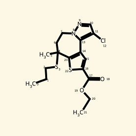 CCCSC1(C)CCn2ncc(Cl)c2-c2cc(C(=O)OCC)sc21